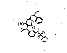 CCC(Cc1cc(O)c(C(c2cccc(NS(=O)(=O)c3cscn3)c2)C2CC2)c(=O)o1)c1ccccc1